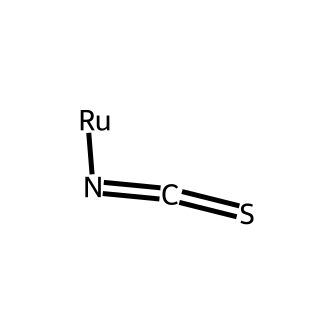 S=C=[N][Ru]